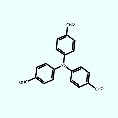 O=Cc1cc[c]([Sb]([c]2ccc(C=O)cc2)[c]2ccc(C=O)cc2)cc1